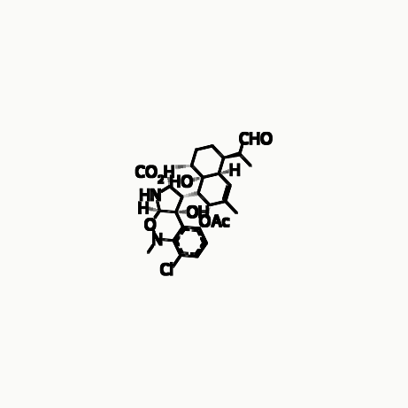 CC(=O)O[C@H]1C(C)=C[C@@H]2[C@H](C(C)C=O)CC[C@@H](C)[C@]2(O)C1[C@H]1[C@@H](C(=O)O)N[C@@H]2ON(C)c3c(Cl)cccc3[C@@]21O